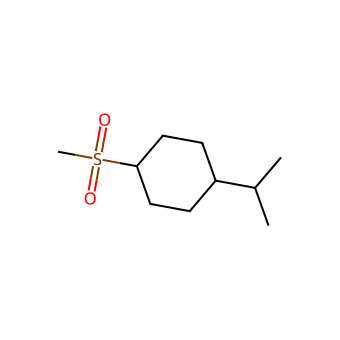 CC(C)C1CCC(S(C)(=O)=O)CC1